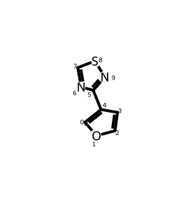 [c]1occc1-c1ncsn1